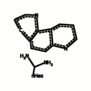 CCCCCCC(N)N.c1cnc2c(c1)ccc1ncccc12